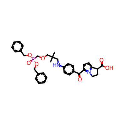 CC(C)(CNc1ccc(C(=O)c2ccc3n2CCC3C(=O)O)cc1)COCP(=O)(OCc1ccccc1)OCc1ccccc1